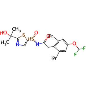 CC(C)c1cc(OC(F)F)cc(C(C)C)c1CC(=O)N=[SH](=O)c1cnc(C(C)(C)O)s1